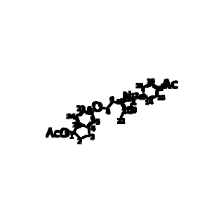 CC(=O)OC1CCc2cc(OCCc3nc(-c4ccc(C(C)=O)cc4)sc3C)ccc21